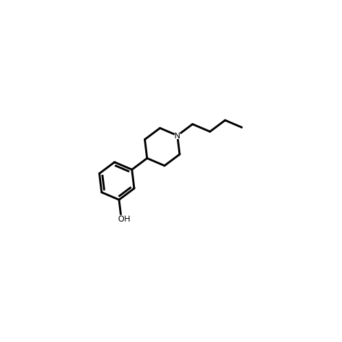 CCCCN1CCC(c2cccc(O)c2)CC1